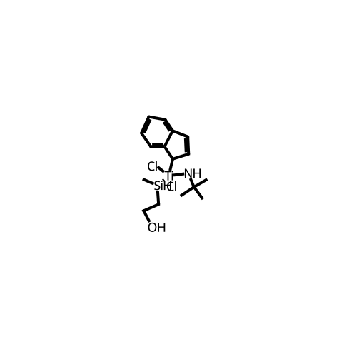 C[SiH](CCO)[Ti]([Cl])([Cl])([NH]C(C)(C)C)[CH]1C=Cc2ccccc21